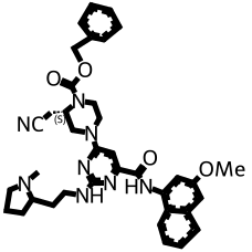 COc1cc(NC(=O)c2cc(N3CCN(C(=O)OCc4ccccc4)[C@@H](CC#N)C3)nc(NCCC3CCCN3C)n2)c2ccccc2c1